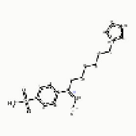 CS(=O)(=O)c1ccc(/C(CCCCCCn2ccnc2)=N\O)cc1